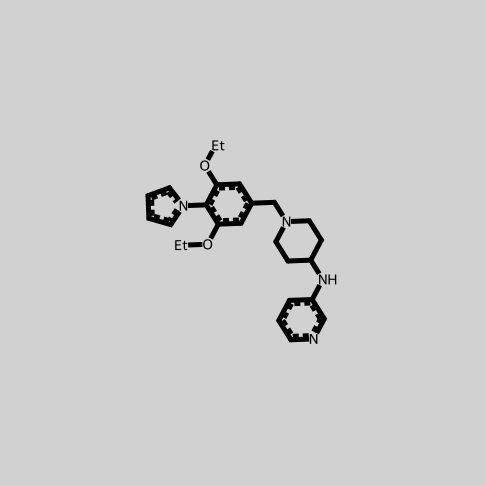 CCOc1cc(CN2CCC(Nc3cccnc3)CC2)cc(OCC)c1-n1cccc1